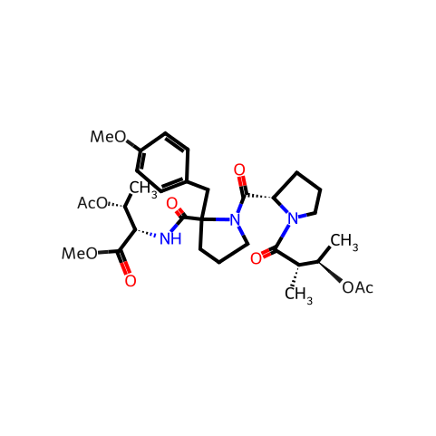 COC(=O)[C@@H](NC(=O)C1(Cc2ccc(OC)cc2)CCCN1C(=O)[C@@H]1CCCN1C(=O)[C@@H](C)[C@@H](C)OC(C)=O)[C@@H](C)OC(C)=O